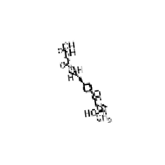 C[C@H](O)c1nccn1Cc1cc(-c2ccc(C#C[C@H]3[C@H]4CN(C(=O)CCNC(=O)O)C[C@@H]34)cc2)on1